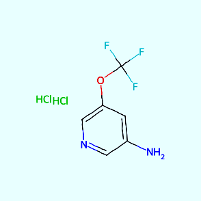 Cl.Cl.Nc1cncc(OC(F)(F)F)c1